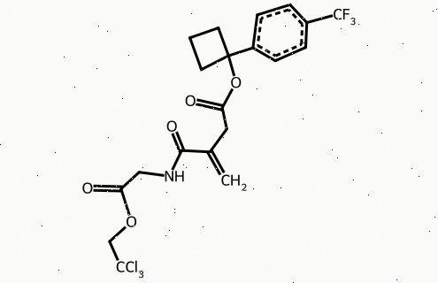 C=C(CC(=O)OC1(c2ccc(C(F)(F)F)cc2)CCC1)C(=O)NCC(=O)OCC(Cl)(Cl)Cl